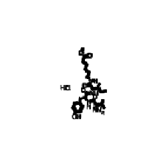 CC[C@H](C)[C@H](NC(=O)[C@H](Cc1ccc(O)cc1)NC(=O)[C@@H](N)C(C)C)C(=O)NCCCCCC(=O)OC.Cl